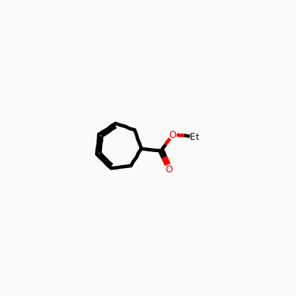 CCOC(=O)C1CC=C=C=CC1